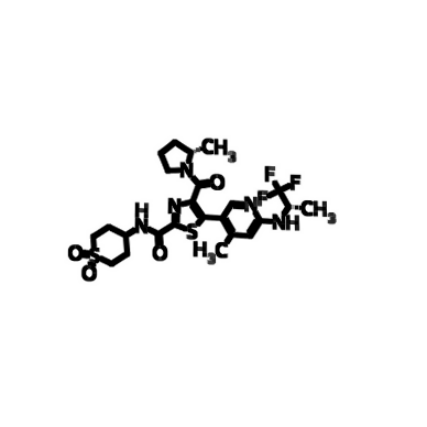 Cc1cc(N[C@@H](C)C(F)(F)F)ncc1-c1sc(C(=O)NC2CCS(=O)(=O)CC2)nc1C(=O)N1CCC[C@@H]1C